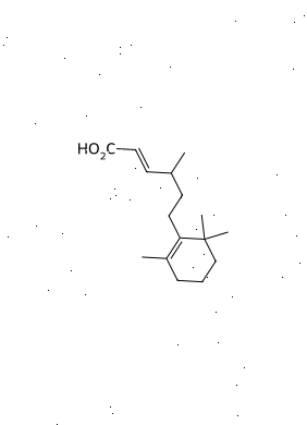 CC1=C(CCC(C)C=CC(=O)O)C(C)(C)CCC1